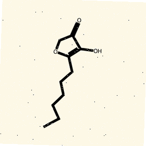 CCCCCCC1=C(O)C(=O)CO1